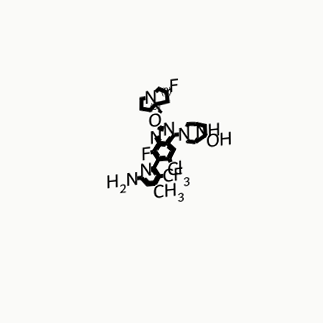 Cc1cc(N)nc(-c2c(Cl)cc3c(N4CC5CC(O)C(C4)N5)nc(OC[C@@]45CCCN4C[C@H](F)C5)nc3c2F)c1C(F)(F)F